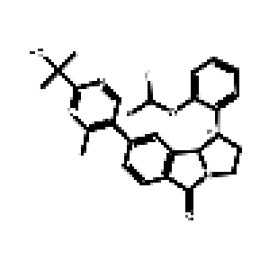 Cc1nc(C(C)(C)O)ncc1-c1ccc2c(c1)C1[C@@H](c3ccccc3OC(F)F)CCN1C2=O